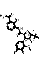 [2H]c1c(NC(=O)[C@H]2O[C@@](C)(C(F)(F)F)[C@@H](C)[C@H]2c2ccc(F)c(F)c2OC)ccnc1C(N)=O